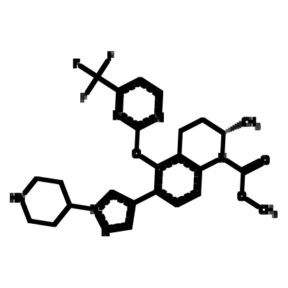 COC(=O)N1c2ccc(-c3cnn(C4CCNCC4)c3)c(Oc3nccc(C(F)(F)F)n3)c2CC[C@@H]1C